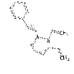 C=Cc1cccc(/C=C/c2ccccc2)c1C=C